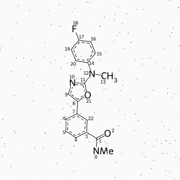 CNC(=O)c1cccc(-c2cnc(N(C)c3ccc(F)cc3)o2)c1